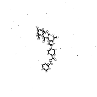 CC1SC(=O)c2sc(C3=CCN(C(=O)OCc4ccccc4)CC3)cc2N1C(=O)c1ccc(Cl)cc1Cl